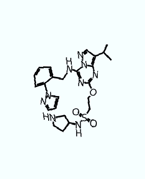 CC(C)c1cnn2c(NCc3ccccc3-n3cccn3)nc(OCCS(=O)(=O)NC3CCNC3)nc12